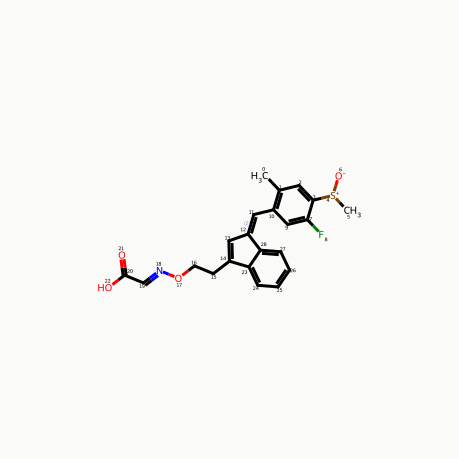 Cc1cc([S+](C)[O-])c(F)cc1/C=C1/C=C(CCON=CC(=O)O)c2ccccc21